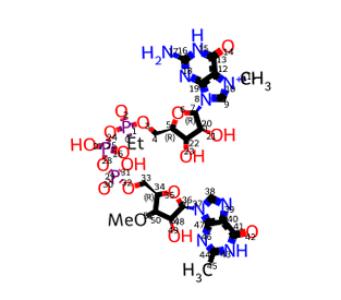 CCP(=O)(OC[C@H]1O[C@@H](n2c[n+](C)c3c(=O)[nH]c(N)nc32)[C@@H](O)C1O)OP(=O)(O)OP(=O)(O)OC[C@H]1O[C@@H](n2cnc3c(=O)[nH]c(C)nc32)[C@@H](O)C1OC